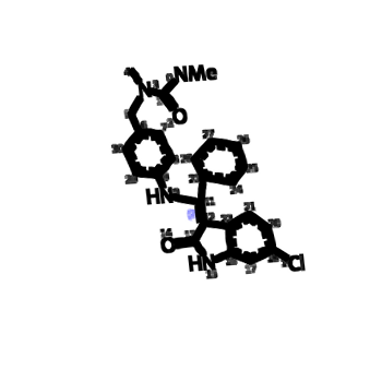 CNC(=O)N(C)Cc1ccc(N/C(=C2\C(=O)Nc3cc(Cl)ccc32)c2ccccc2)cc1